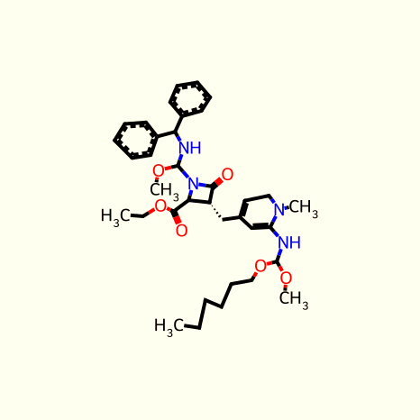 CCCCCCOC(NC1=CC(C[C@H]2C(=O)N(C(NC(c3ccccc3)c3ccccc3)OC)C2C(=O)OCC)=CCN1C)OC